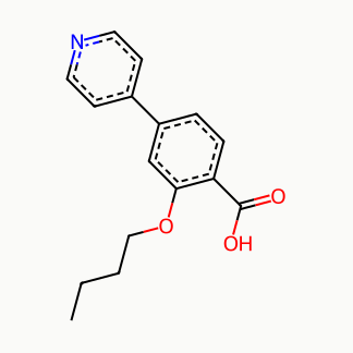 CCCCOc1cc(-c2ccncc2)ccc1C(=O)O